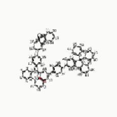 c1ccc(-c2ccccc2N(c2ccc(-c3ccc4oc5ccccc5c4c3)cc2)c2cccc(-c3ccc(-c4ccc5c(c4)-c4ccccc4C5(c4ccccc4)c4ccccc4)cc3)c2)cc1